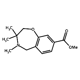 COC(=O)c1ccc2c(c1)OCC(C)(C)N(C)C2